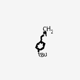 C=NCc1ccc(C(C)(C)C)cc1